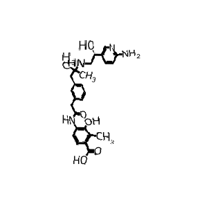 Cc1c(C(=O)O)ccc(NC(=O)Cc2cccc(CC(C)(C)NC[C@H](O)c3ccc(N)nc3)c2)c1O